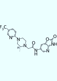 C[C@@H]1CN(c2ccc(C(F)(F)F)cn2)CCN1CC(=O)Nc1cnc2[nH]c(=O)oc2c1